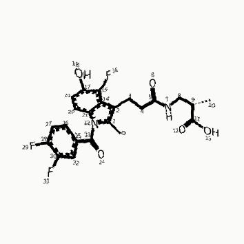 Cc1c(CCC(=O)NC[C@H](C)C(=O)O)c2c(F)c(O)ccc2n1C(=O)c1ccc(F)c(F)c1